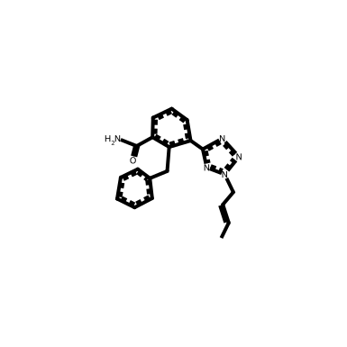 CC=CCn1nnc(-c2cccc(C(N)=O)c2Cc2ccccc2)n1